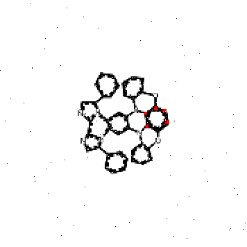 c1ccc(-c2cnc3c4ncc(-c5ccccc5)n4c4cc(N5c6ccccc6Oc6ccccc65)c(N5c6ccccc6Oc6ccccc65)cc4n23)cc1